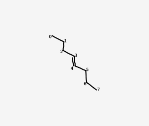 CCCC=CCCC